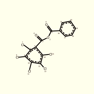 O=C(OC(=O)c1c(Cl)c(Cl)c(Cl)c(Cl)c1Cl)c1ccccc1